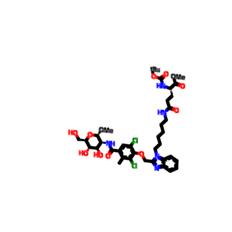 COC(=O)[C@H](CCC(=O)NCCCCCCn1c(COc2c(Cl)cc(C(=O)N[C@H]3[C@@H](OC)O[C@H](CO)[C@@H](O)[C@@H]3O)c(C)c2Cl)nc2ccccc21)NC(=O)OC(C)(C)C